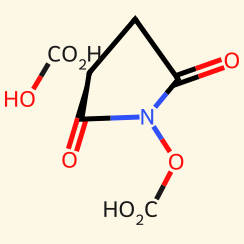 O=C(O)O.O=C(O)ON1C(=O)CCC1=O